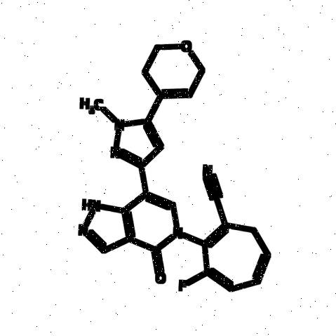 Cn1nc(-c2cn(C3=C(C#N)CC=CC=C3F)c(=O)c3cn[nH]c23)cc1C1=CCOCC1